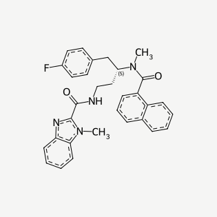 CN(C(=O)c1cccc2ccccc12)[C@H](CCNC(=O)c1nc2ccccc2n1C)Cc1ccc(F)cc1